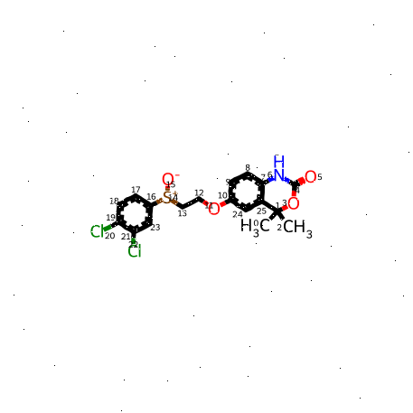 CC1(C)OC(=O)Nc2ccc(OCC[S+]([O-])c3ccc(Cl)c(Cl)c3)cc21